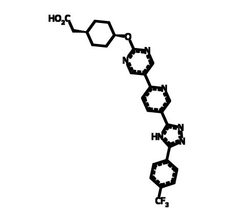 O=C(O)C[C@H]1CC[C@@H](Oc2ncc(-c3ccc(-c4nnc(-c5ccc(C(F)(F)F)cc5)[nH]4)cn3)cn2)CC1